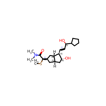 CS/C(C(=O)N(C)C)=C1\C[C@H]2C[C@@H](O)[C@H](/C=C/[C@@H](O)C3CCCC3)[C@H]2C1